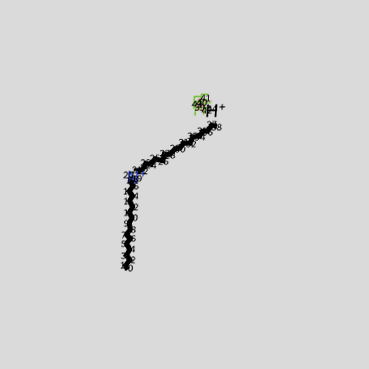 CCCCCCCCCCCCCCCCCC[N+](C)(C)CCCCCCCCCCCCCCCCCC.F[B-](F)(F)F.[H+]